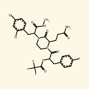 CNC(=O)C(Cc1ccc(Cl)cc1Cl)N1CCN(C(=O)C(Cc2ccc(F)cc2)OC(=O)C(F)(F)F)C(CCC(N)=O)C1=O